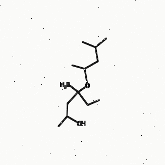 BC(CC)(CC(C)O)OC(C)CC(C)C